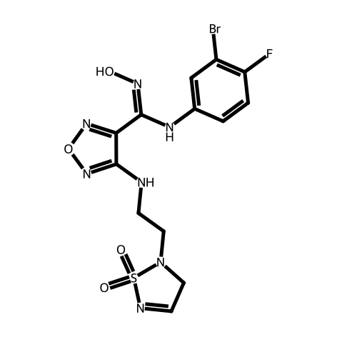 O=S1(=O)N=CCN1CCNc1nonc1C(=NO)Nc1ccc(F)c(Br)c1